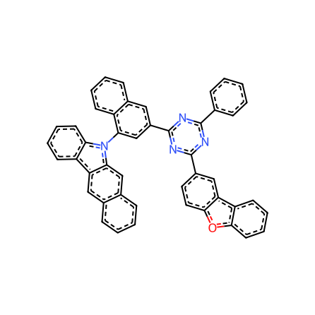 c1ccc(-c2nc(-c3cc(-n4c5ccccc5c5cc6ccccc6cc54)c4ccccc4c3)nc(-c3ccc4oc5ccccc5c4c3)n2)cc1